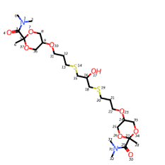 CN(C)C(=O)C1(C)OCC(OCCCSCC(O)CSCCCOC2COC(C)(C(=O)N(C)C)OC2)CO1